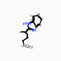 CCCCCCCCCCC(C)c1nc2ccccc2[nH]1